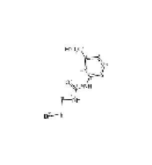 CCOC(=O)c1cccc(NC(=O)NCCBr)c1